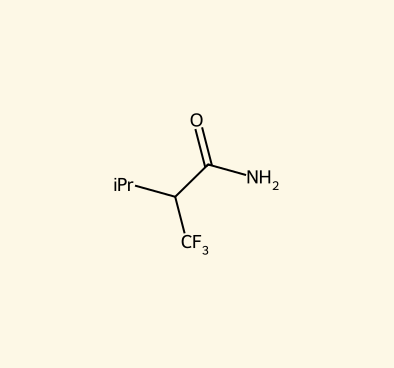 CC(C)C(C(N)=O)C(F)(F)F